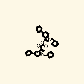 O=C(Oc1cn(Cc2ccccc2)c2ccc(-c3ccccc3)cc12)C(=O)c1cn(Cc2ccccc2)c2ccc(-c3ccccc3)cc12